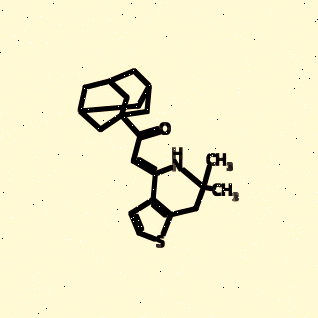 CC1(C)Cc2sccc2C(=CC(=O)C23CC4CC(CC(C4)C2)C3)N1